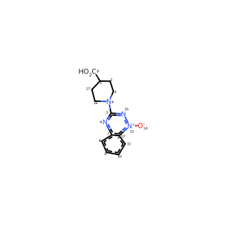 O=C(O)C1CCN(c2nc3ccccc3[n+]([O-])n2)CC1